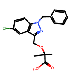 CC(C)(OCc1nn(Cc2ccccc2)c2ccc(Cl)cc12)C(=O)O